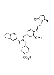 COc1cc(CN(C[C@H]2CC[C@H](C(=O)O)CC2)C(C)c2ccc3c(c2)CCC3)ccc1OCCN1C(=O)CCC1=O